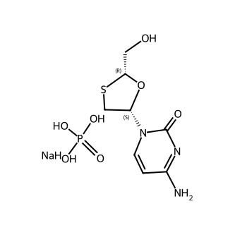 Nc1ccn([C@@H]2CS[C@H](CO)O2)c(=O)n1.O=P(O)(O)O.[NaH]